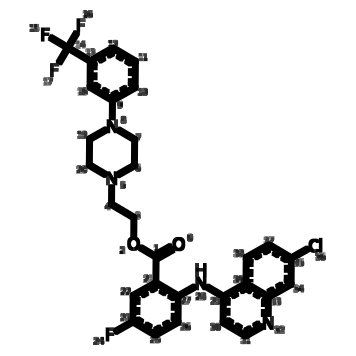 O=C(OCCN1CCN(c2cccc(C(F)(F)F)c2)CC1)c1cc(F)ccc1Nc1ccnc2cc(Cl)ccc12